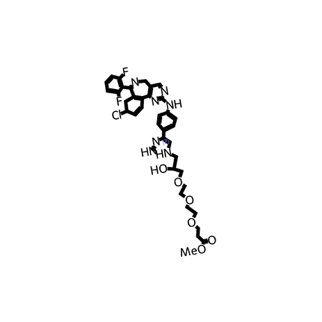 COC(=O)CCOCCOCCOCC(O)CN/C=C(\N=N)c1ccc(Nc2ncc3c(n2)C2=C(CC(Cl)C=C2)C(c2c(F)cccc2F)=NC3)cc1